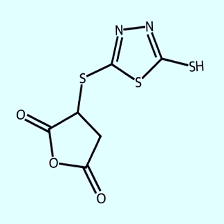 O=C1CC(Sc2nnc(S)s2)C(=O)O1